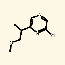 COCC(C)c1cncc(Cl)n1